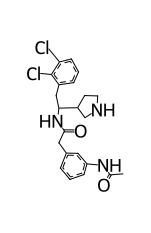 CC(=O)Nc1cccc(CC(=O)NC(Cc2cccc(Cl)c2Cl)C2CCNC2)c1